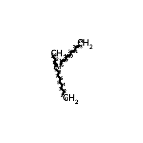 C=CCCCCCCC[CH2][Al]([CH2]CCC)[CH2]CCCCCCCC=C